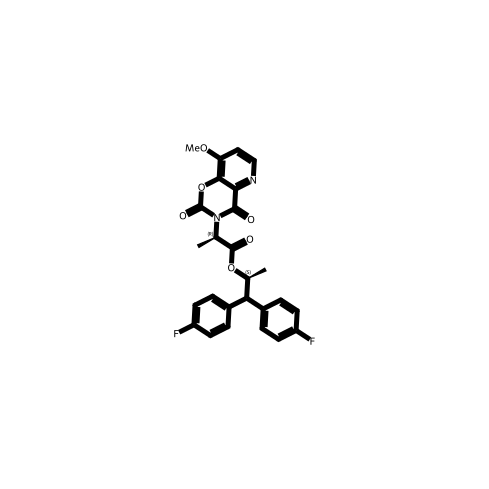 COc1ccnc2c(=O)n([C@H](C)C(=O)O[C@@H](C)C(c3ccc(F)cc3)c3ccc(F)cc3)c(=O)oc12